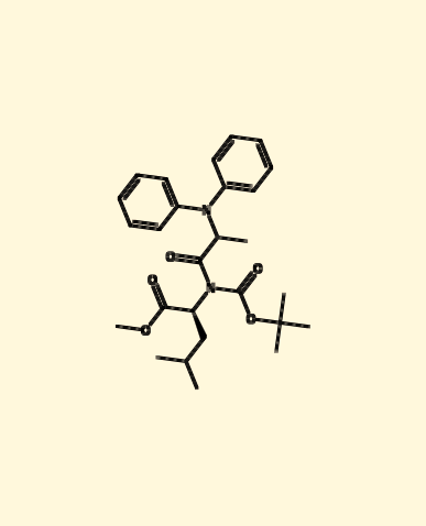 COC(=O)[C@H](CC(C)C)N(C(=O)OC(C)(C)C)C(=O)C(C)N(c1ccccc1)c1ccccc1